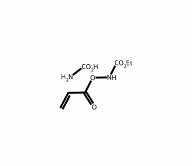 C=CC(=O)ONC(=O)OCC.NC(=O)O